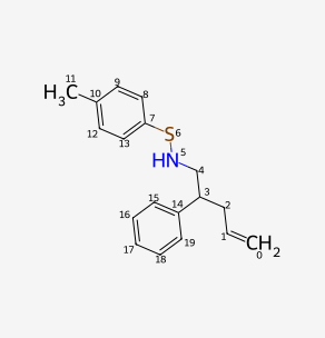 C=CCC(CNSc1ccc(C)cc1)c1ccccc1